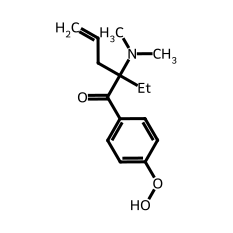 C=CCC(CC)(C(=O)c1ccc(OO)cc1)N(C)C